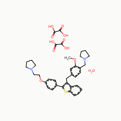 COc1cc(Cc2c(-c3ccc(OCCN4CCCC4)cc3)sc3ccccc23)ccc1CN1CCCC1.O.O=C(O)C(=O)O.O=C(O)C(=O)O